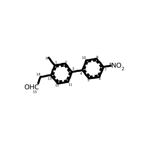 Cc1cc(-c2ccc([N+](=O)[O-])cc2)ccc1CC=O